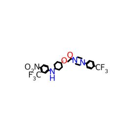 O=C(CO[C@H]1CC[C@@H](Nc2ccc([N+](=O)[O-])c(C(F)(F)F)c2)CC1)N1CCN(c2ccc(C(F)(F)F)cc2)CC1